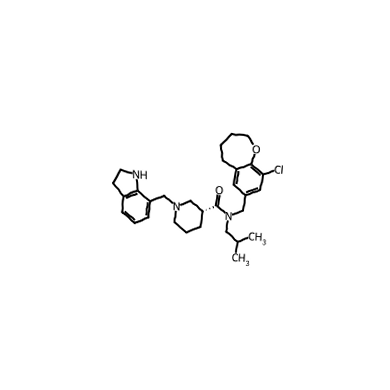 CC(C)CN(Cc1cc(Cl)c2c(c1)CCCCO2)C(=O)[C@@H]1CCCN(Cc2cccc3c2NCC3)C1